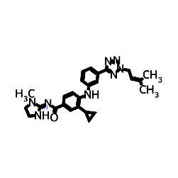 CC(C)=CCn1nnc(-c2cccc(Nc3ccc(C(=O)/N=C4\NCCN4C)cc3C3CC3)c2)n1